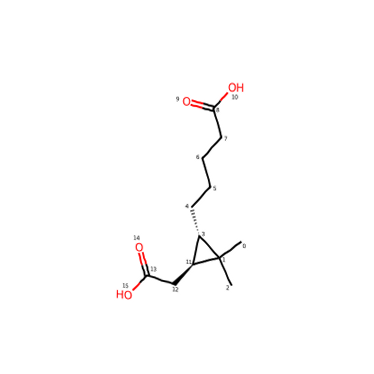 CC1(C)[C@@H](CCCCC(=O)O)[C@@H]1CC(=O)O